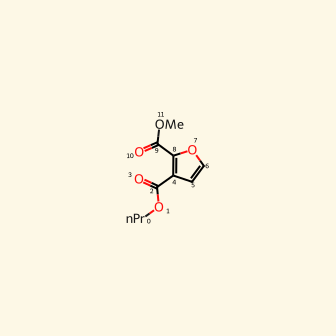 CCCOC(=O)c1ccoc1C(=O)OC